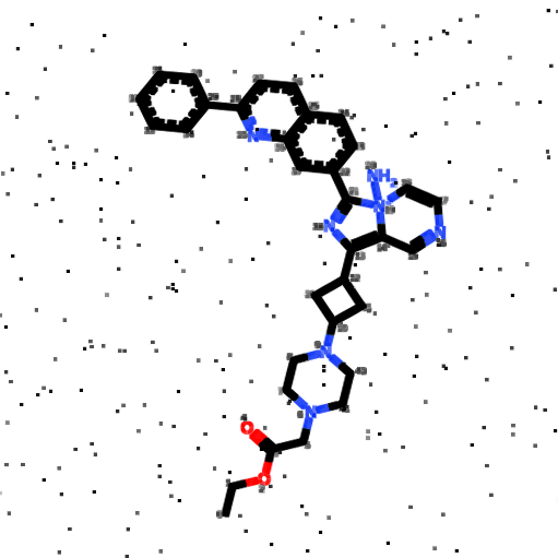 CCOC(=O)CN1CCN(C2CC(C3=C4C=NC=C[N+]4(N)C(c4ccc5ccc(-c6ccccc6)nc5c4)=N3)C2)CC1